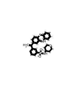 C=C(c1cccc(S(=O)(=O)NC2CCOCC2)c1)c1ccc2c(c1)Nc1ccccc1S2